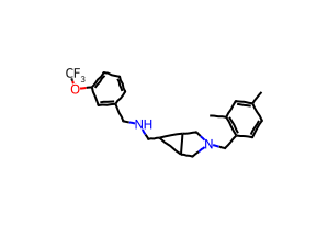 Cc1ccc(CN2CC3C(CNCc4cccc(OC(F)(F)F)c4)C3C2)c(C)c1